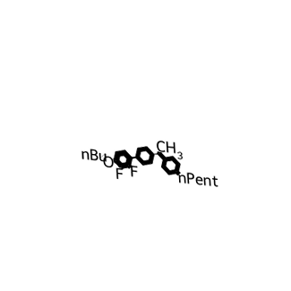 CCCCCC1CCC(C(C)[C@H]2CC[C@H](c3ccc(OCCCC)c(F)c3F)CC2)CC1